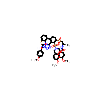 COc1ccc(CN(Cc2ccc(OC)cc2)S(=O)(=O)c2c(S(=O)(=O)CC(C)NC(=O)O)ccc(-c3cccc4sc(N)nc34)c2-c2nnn(Cc3ccc(OC)cc3)n2)cc1